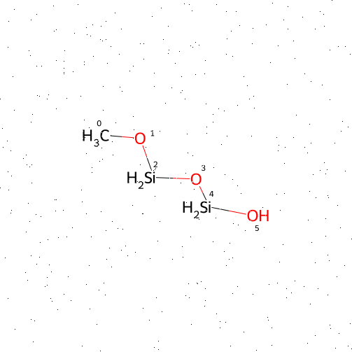 CO[SiH2]O[SiH2]O